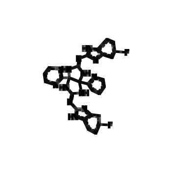 Fc1ccc2[nH]c(N=C3NC4(c5ccccn5)NC(=Nc5nc6cc(F)ccc6[nH]5)NC4(c4ccccn4)N3)nc2c1